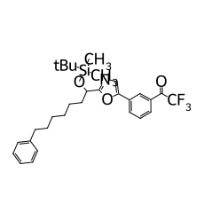 CC(C)(C)[Si](C)(C)OC(CCCCCCc1ccccc1)c1ncc(-c2cccc(C(=O)C(F)(F)F)c2)o1